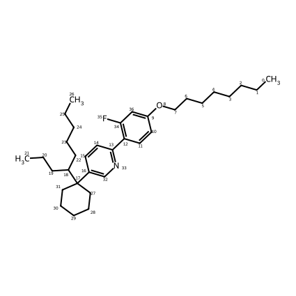 CCCCCCCCOc1ccc(-c2ccc(C3(C(CCC)CCCCC)CCCCC3)cn2)c(F)c1